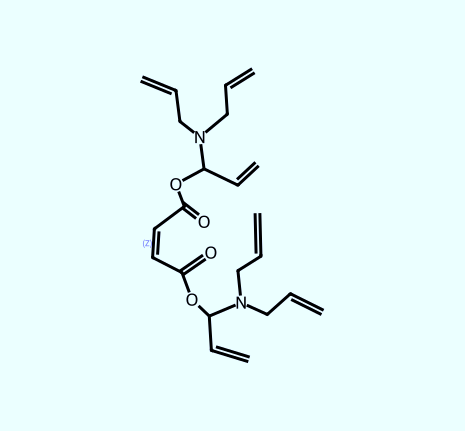 C=CCN(CC=C)C(C=C)OC(=O)/C=C\C(=O)OC(C=C)N(CC=C)CC=C